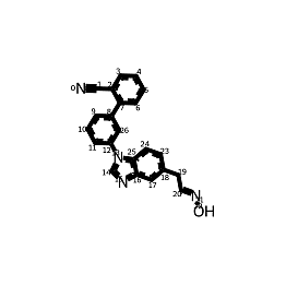 N#Cc1ccccc1-c1cccc(-n2cnc3cc(C[C]=NO)ccc32)c1